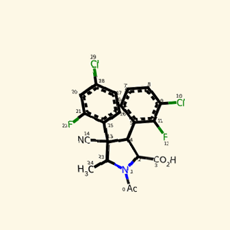 CC(=O)N1C(C(=O)O)C(c2cccc(Cl)c2F)C(C#N)(c2ccc(Cl)cc2F)C1C